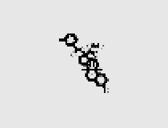 COC(=O)[C@@]1(OC(=O)c2cccc(I)c2)CC[C@H]2[C@@H]3CCC4=CC(=O)CC[C@]4(C)[C@H]3CC[C@@]21C